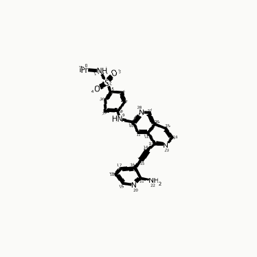 CC(C)NS(=O)(=O)c1ccc(Nc2cc3c(C#Cc4cccnc4N)nccc3cn2)cc1